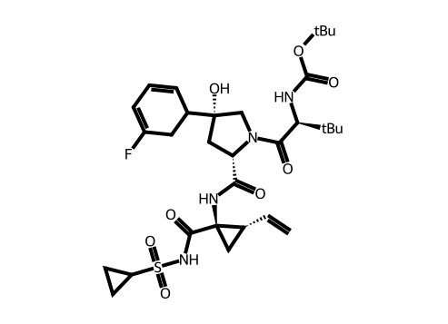 C=C[C@@H]1C[C@]1(NC(=O)[C@@H]1C[C@@](O)(C2C=CC=C(F)C2)CN1C(=O)[C@@H](NC(=O)OC(C)(C)C)C(C)(C)C)C(=O)NS(=O)(=O)C1CC1